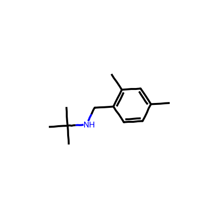 Cc1ccc(CNC(C)(C)C)c(C)c1